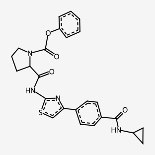 O=C(NC1CC1)c1ccc(-c2csc(NC(=O)C3CCCN3C(=O)Oc3ccccc3)n2)cc1